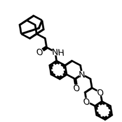 O=C(CC12CC3CC(CC(C3)C1)C2)Nc1cccc2c1CCN(CC1COc3ccccc3O1)C2=O